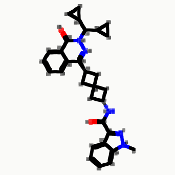 Cn1nc(C(=O)N[C@H]2CC3(C2)C[C@H](c2nn(C(C4CC4)C4CC4)c(=O)c4ccccc42)C3)c2ccccc21